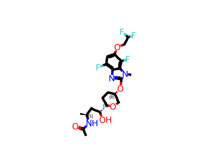 CC(=O)N[C@@H](C)CC(O)[C@@H]1CC[C@@H](Oc2nc3c(F)cc(OCC(F)F)c(F)c3n2C)CO1